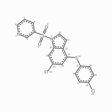 O=S(=O)(c1cccnc1)n1ccc2c(Sc3ccc(Cl)cc3)cc(Cl)cc21